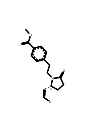 COC(=O)c1ccc(CCN2C(=O)CC[C@@H]2/C=C\Br)cc1